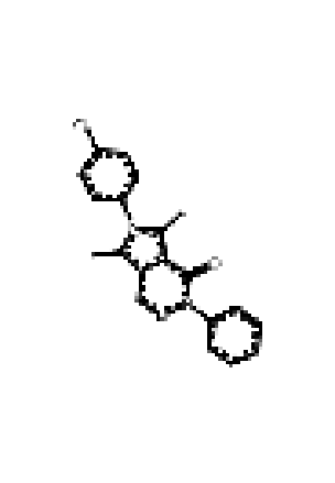 Cc1c2cnn(-c3ccccc3)c(=O)c2c(C)n1-c1ccc(Cl)cc1